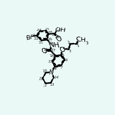 CCCCOc1ccc(N2CCCCC2)cc1C(=O)Nc1cc(Br)ccc1C(=O)O